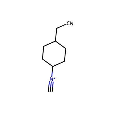 C#[N+]C1CCC(CC#N)CC1